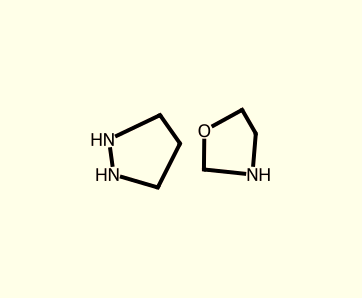 C1CNNC1.C1COCN1